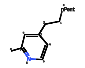 CCCCCCCc1ccnc(C)c1